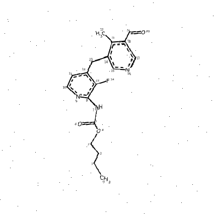 CCCCOC(=O)Nc1nccc(Cc2cncc(C=O)c2C)c1F